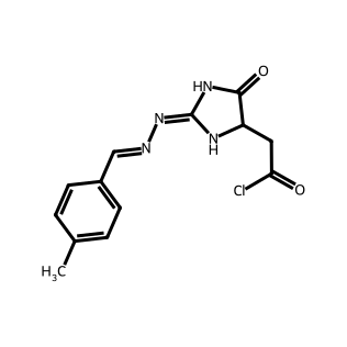 Cc1ccc(C=NN=C2NC(=O)C(CC(=O)Cl)N2)cc1